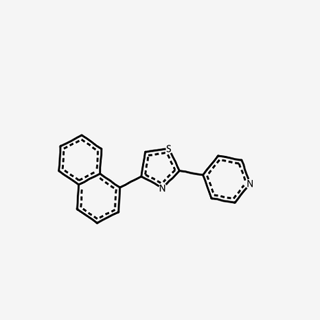 c1ccc2c(-c3csc(-c4ccncc4)n3)cccc2c1